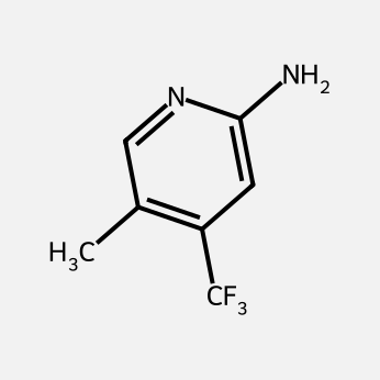 Cc1cnc(N)cc1C(F)(F)F